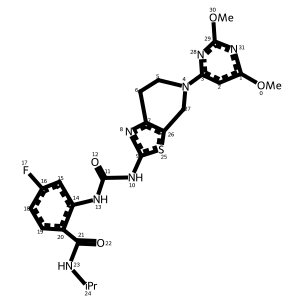 COc1cc(N2CCc3nc(NC(=O)Nc4cc(F)ccc4C(=O)NC(C)C)sc3C2)nc(OC)n1